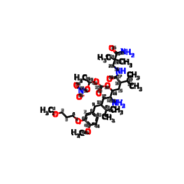 COCCCOc1cc(CC(CC(N)C(CC(C(=O)NCC(C)(C)C(N)=O)C(C)C)OC(=O)OC(C)O[N+](=O)[O-])C(C)C)ccc1OC